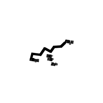 CCCCCCCCCCCCCC(=O)O.[OH-].[OH-].[Zn+2]